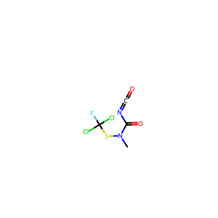 CN(SC(F)(Cl)Cl)C(=O)N=C=O